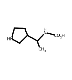 CC(NC(=O)O)C1CCNC1